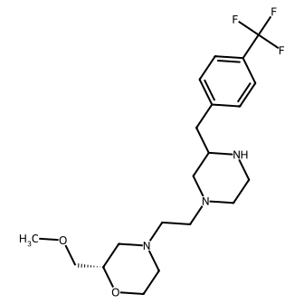 COC[C@@H]1CN(CCN2CCNC(Cc3ccc(C(F)(F)F)cc3)C2)CCO1